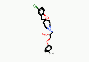 N#Cc1ccc(OC[C@@H](O)CN2CCC3(CC2)Cc2cc(Cl)ccc2O3)cc1